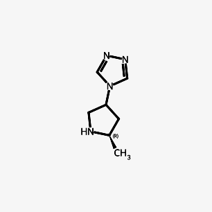 C[C@@H]1CC(n2cnnc2)CN1